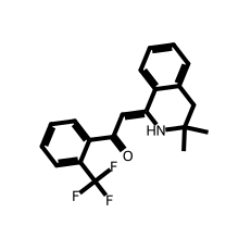 CC1(C)Cc2ccccc2C(=CC(=O)c2ccccc2C(F)(F)F)N1